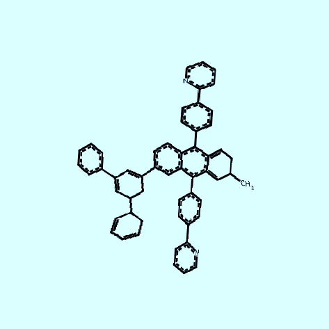 CC1C=c2c(-c3ccc(-c4ccccn4)cc3)c3cc(C4=CC(c5ccccc5)=CC(C5C=CC=CC5)C4)ccc3c(-c3ccc(-c4ccccn4)cc3)c2=CC1